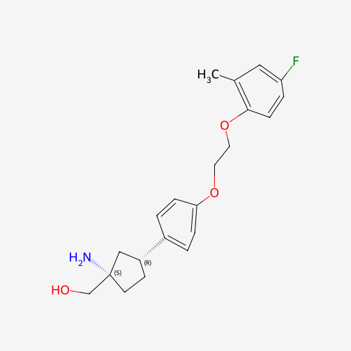 Cc1cc(F)ccc1OCCOc1ccc([C@@H]2CC[C@@](N)(CO)C2)cc1